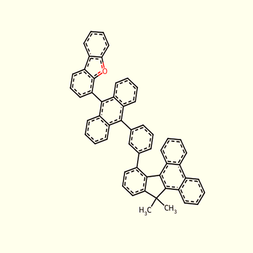 CC1(C)c2cccc(-c3cccc(-c4c5ccccc5c(-c5cccc6c5oc5ccccc56)c5ccccc45)c3)c2-c2c1c1ccccc1c1ccccc21